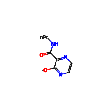 CCCNC(=O)c1nccnc1[O]